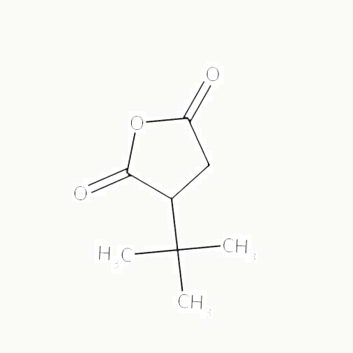 CC(C)(C)C1CC(=O)OC1=O